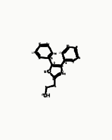 OCCc1nc(-c2ccccc2)c(-c2ccccc2)o1